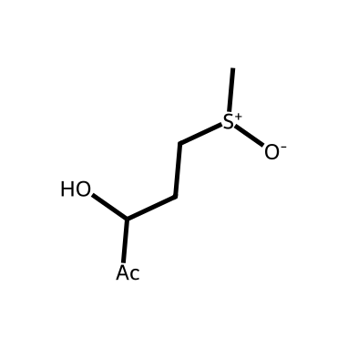 CC(=O)C(O)CC[S+](C)[O-]